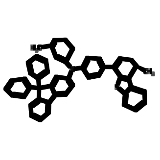 CC1=CCCC(N(c2ccc(C3=CC[C@@H](C)c4c3sc3ccccc43)cc2)c2ccc3c(c2)C(c2ccccc2)(c2ccccc2)c2ccccc2-3)=C1